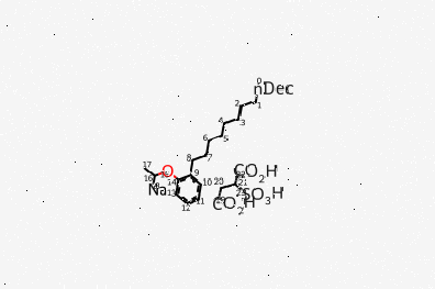 CCCCCCCCCCCCCCCCCCc1ccccc1O[CH](C)[Na].O=C(O)CC(C(=O)O)S(=O)(=O)O